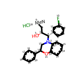 CNC[C@@H](O)[C@H](c1cccc(F)c1)N1CC(c2ccccc2)Oc2ccccc21.Cl